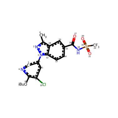 Cc1nn(-c2cnc(OCC(C)C)c(Cl)c2)c2ccc(C(=O)NS(=O)(=O)C(F)(F)F)cc12